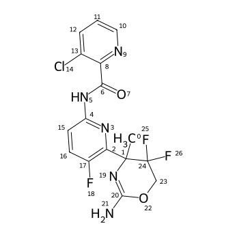 CC1(c2nc(NC(=O)c3ncccc3Cl)ccc2F)N=C(N)OCC1(F)F